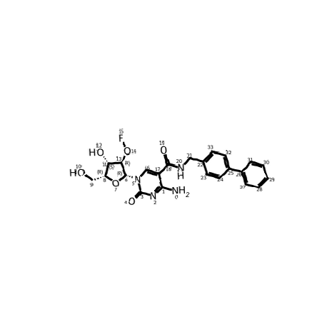 Nc1nc(=O)n([C@@H]2O[C@H](CO)[C@H](O)[C@H]2OF)cc1C(=O)NCc1ccc(-c2ccccc2)cc1